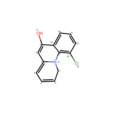 OC1=CC2=CC=CCN2c2c(Cl)cccc21